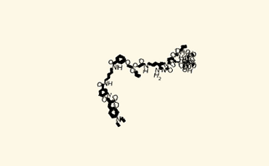 C=CCOCOC1C[C@H](n2cc(/C=C/CNC(=O)COC(COc3cccc(C(=O)NCCCCCNC(=O)c4ccc5oc(-c6cc7ccc(N(CC)CC)cc7oc6=O)nc5c4)c3)OCC=C)c(N)nc2=O)O[C@@H]1COP(=O)(O)OP(=O)(O)OP(=O)(O)O